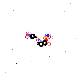 COc1cc2c(cc1OS(N)(=O)=O)/C(=N/OCc1ccc([N+](=O)[O-])cc1)C(C)(C)CC2